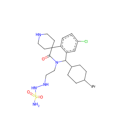 CC(C)C1CCC(C2c3cc(Cl)ccc3C3(CCNCC3)C(=O)N2CCNNS(N)(=O)=O)CC1